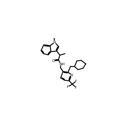 CC(C(=O)NCc1ccc(C(F)(F)F)nc1CC1CCCCC1)c1cn(C)c2ccccc12